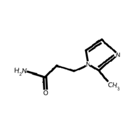 Cc1nccn1CCC(N)=O